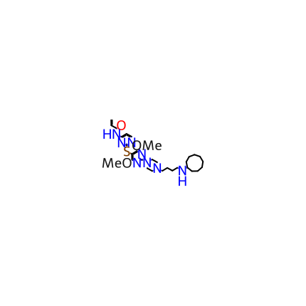 C=CC(=O)Nc1ccnc(Sc2c(OC)nc(N3CCN(CCCCNC4CCCCCCCC4)CC3)nc2OC)n1